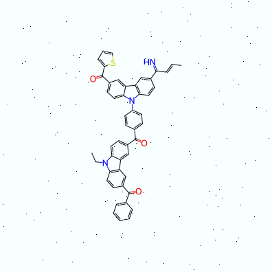 CC=CC(=N)c1ccc2c(c1)c1cc(C(=O)c3cccs3)ccc1n2-c1ccc(C(=O)c2ccc3c(c2)c2cc(C(=O)c4ccccc4)ccc2n3CC)cc1